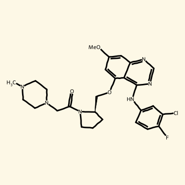 COc1cc(OC[C@H]2CCCN2C(=O)CN2CCN(C)CC2)c2c(Nc3ccc(F)c(Cl)c3)ncnc2c1